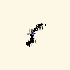 C=C(/N=C1/C(CC)=CC(c2ccc(NS(=O)(=O)c3ccccc3Cl)cc2C)=C/C1=C/C)N[C@H]1CC[C@H](NC(=O)OC(C)(C)C)CC1